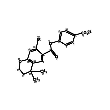 CCOC(=O)c1ccc(OC(=O)c2cc3c(cc2CC)OCCC3(C)C)cc1